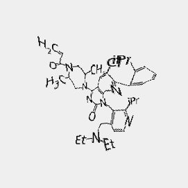 C=CC(=O)N1CC(C)N(c2nc(=O)n(-c3c(CN(CC)CC)ccnc3C(C)C)c3nc(-c4ccccc4C(C)C)c(Cl)cc23)CC1C